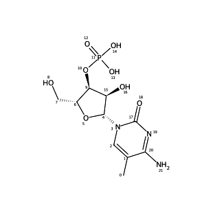 Cc1cn([C@@H]2O[C@H](CO)[C@@H](OP(=O)(O)O)[C@H]2O)c(=O)nc1N